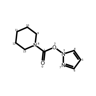 O=C(On1cccn1)N1CCCCC1